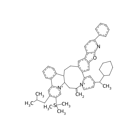 C=C1CC2C(CCc3cc4c(cc3-c3cc(C(C)C5CCCCC5)cc[n+]31)oc1nc(-c3ccccc3)ccc14)c1ccccc1-c1cc(CC(C)C)c([Si](C)(C)C)c[n+]12